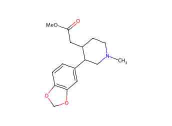 COC(=O)CC1CCN(C)CC1c1ccc2c(c1)OCO2